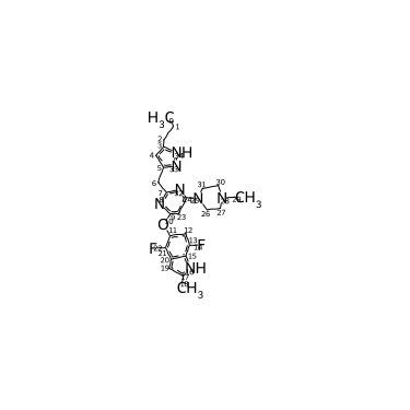 CCCc1cc(Cc2nc(Oc3cc(F)c4[nH]c(C)cc4c3F)cc(N3CCN(C)CC3)n2)n[nH]1